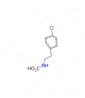 O=C(O)NCCc1ccc(Cl)cc1